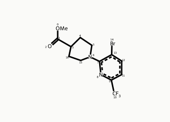 COC(=O)C1CCN(c2nc(C(F)(F)F)ccc2Br)CC1